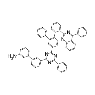 Nc1cccc(-c2cccc(-c3nc(-c4ccccc4)nc(-c4ccc(-c5ccccc5-c5nc(-c6ccccc6)c6ccccc6n5)c(-c5ccccc5)c4)n3)c2)c1